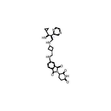 N=C(/C(=C\N[C@H]1C[C@H](CNc2ccc3c(c2)C(=O)N(C2CCC(=O)NC2=O)C3=O)C1)c1cnccn1)C1CC1